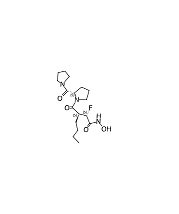 CCCC[C@@H](C(=O)N1CCC[C@H]1C(=O)N1CCCC1)[C@H](F)C(=O)NO